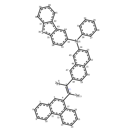 [2H]/C(=C(/[2H])c1cc2ccccc2c2ccccc12)c1ccc2ccc(N(c3ccccc3)c3ccc4sc5ccccc5c4c3)cc2c1